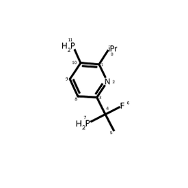 CC(C)c1nc(C(C)(F)P)ccc1P